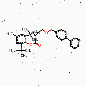 Cc1cc(C(C)(C)C)c(OC(=O)C2CC2COCc2ccc(-c3ccccc3)cc2)c(C(C)(C)C)c1